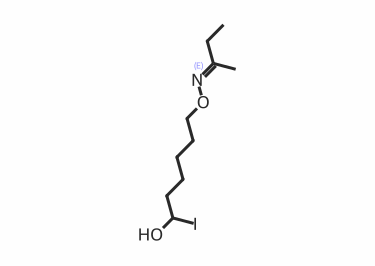 CC/C(C)=N/OCCCCCC(O)I